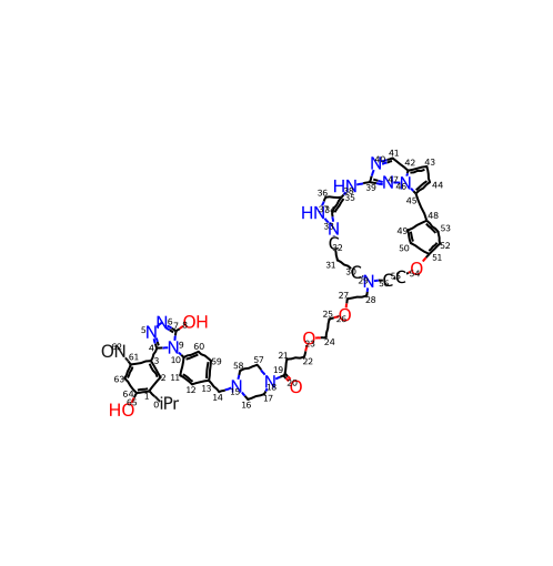 CC(C)c1cc(-c2nnc(O)n2-c2ccc(CN3CCN(C(=O)CCOCCOCCN4CCCN5C=C(CN5)Nc5ncc6ccc(n6n5)-c5ccc(cc5)OCC4)CC3)cc2)c(N=O)cc1O